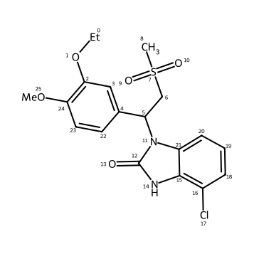 CCOc1cc(C(CS(C)(=O)=O)n2c(=O)[nH]c3c(Cl)cccc32)ccc1OC